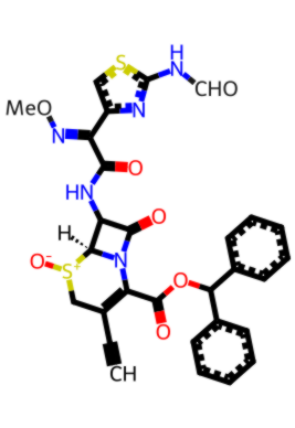 C#CC1=C(C(=O)OC(c2ccccc2)c2ccccc2)N2C(=O)C(NC(=O)C(=NOC)c3csc(NC=O)n3)[C@@H]2[S+]([O-])C1